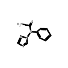 NC(=S)N(c1ccccc1)n1cncn1